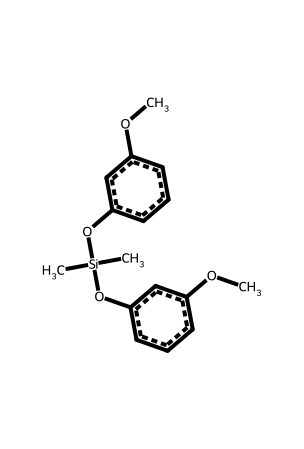 COc1cccc(O[Si](C)(C)Oc2cccc(OC)c2)c1